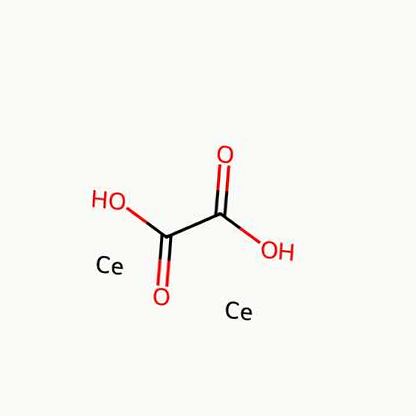 O=C(O)C(=O)O.[Ce].[Ce]